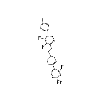 CCc1ccc(C2=CCC(CCc3ccc(-c4ccc(C)cc4)c(F)c3F)CC2)c(F)c1